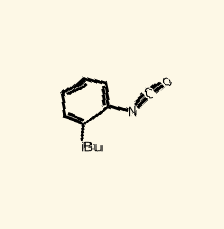 CCC(C)c1ccccc1N=C=O